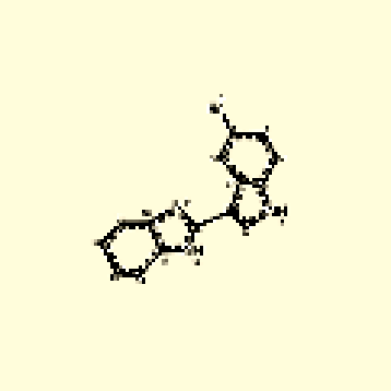 Brc1ccc2[nH]cc(-c3nc4ccccc4[nH]3)c2c1